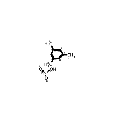 Cc1cc(C)cc(C)c1.O=[N+]([O-])O